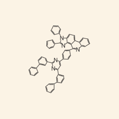 c1ccc(-c2cccc(-c3cc(-c4ccc(-c5nc6ccccc6c6ccc7c(nc(-c8ccccc8)n7-c7ccccc7)c56)cc4)nc(-c4cccc(-c5ccccc5)c4)n3)c2)cc1